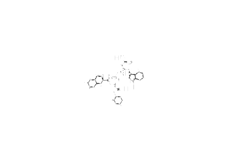 CN(Cc1ccccc1)C(=O)C[C@H](NCCNC(CC(=O)O)Cc1c[nH]c2ccccc12)c1ccc2ccccc2c1